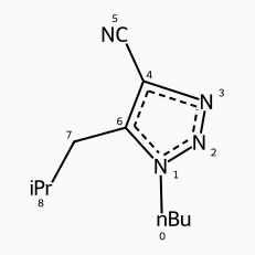 CCCCn1nnc(C#N)c1CC(C)C